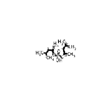 CC(C)CC(C)OP(=O)(O)OC(C)CC(C)C